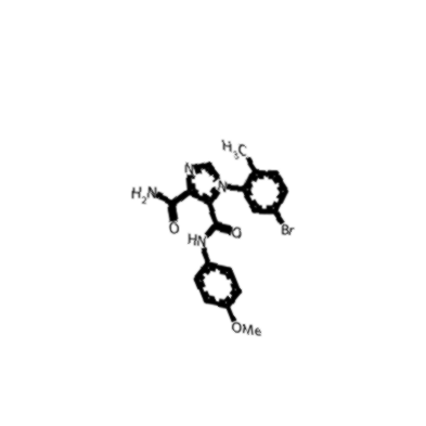 COc1ccc(NC(=O)c2c(C(N)=O)ncn2-c2cc(Br)ccc2C)cc1